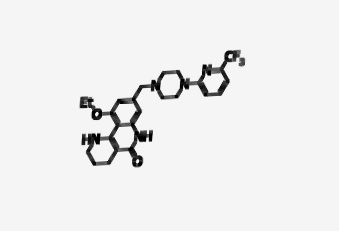 CCOc1cc(CN2CCN(c3cccc(C(F)(F)F)n3)CC2)cc2[nH]c(=O)c3c(c12)NCCC3